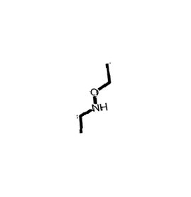 [CH2]CON[C]C